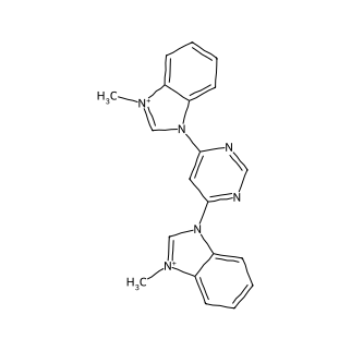 C[n+]1cn(-c2cc(-n3c[n+](C)c4ccccc43)ncn2)c2ccccc21